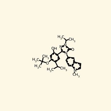 CC(C)c1cc(-c2nn(C(C)C)c(=O)n2-c2ccc3c(ccn3C)c2)c(O)cc1OC(C)(C)C